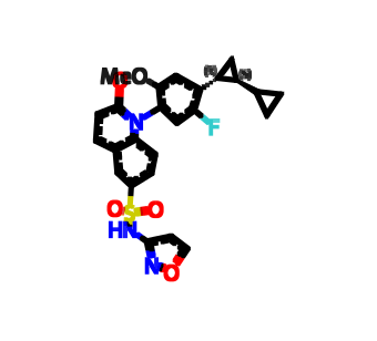 COc1cc([C@@H]2C[C@H]2C2CC2)c(F)cc1-n1c(=O)ccc2cc(S(=O)(=O)Nc3ccon3)ccc21